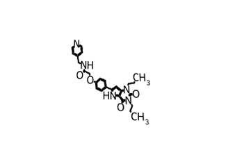 CCCn1c(=O)c2[nH]c(-c3ccc(OCC(=O)NCc4ccncc4)cc3)cc2n(CCC)c1=O